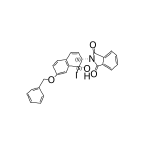 O=C1c2ccccc2C(=O)N1[C@H]1C=Cc2ccc(OCc3ccccc3)cc2[C@]1(O)I